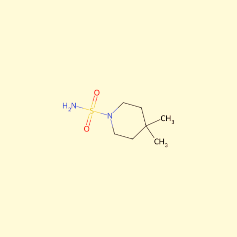 CC1(C)CCN(S(N)(=O)=O)CC1